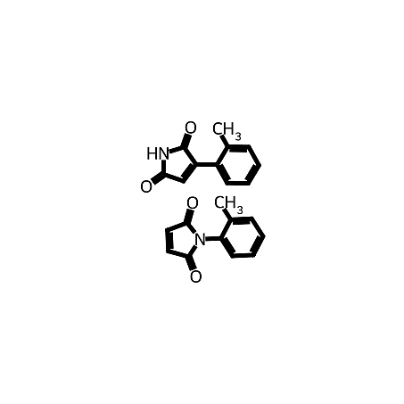 Cc1ccccc1C1=CC(=O)NC1=O.Cc1ccccc1N1C(=O)C=CC1=O